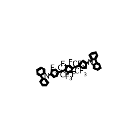 Fc1c(F)c(C(c2ccc(-n3c4ccccc4c4ccccc43)cc2)(C(F)(F)F)C(F)(F)F)c(F)c(F)c1C(c1ccc(-n2c3ccccc3c3ccccc32)cc1)(C(F)(F)F)C(F)(F)F